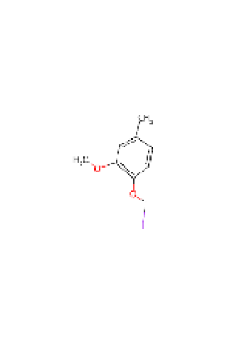 COc1cc(C)ccc1OCI